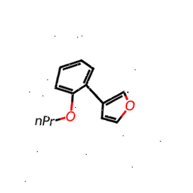 CCCOc1ccccc1-c1[c]occ1